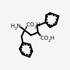 N[C@@](Cc1ccccc1)(CC(Cc1ccccc1)C(=O)O)C(=O)O